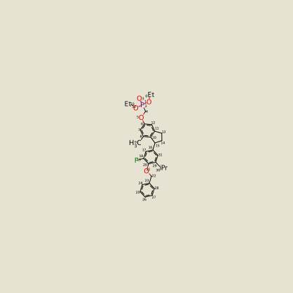 CCOP(=O)(COc1cc(C)c2c(c1)CCC2c1cc(F)c(OCc2ccccc2)c(C(C)C)c1)OCC